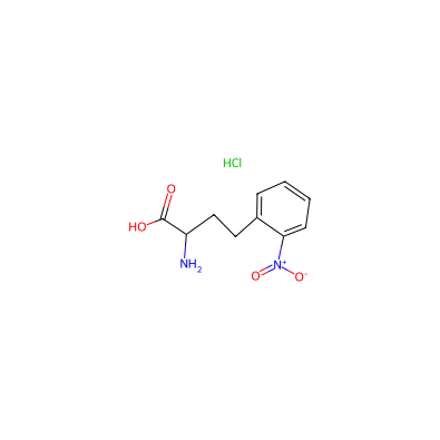 Cl.NC(CCc1ccccc1[N+](=O)[O-])C(=O)O